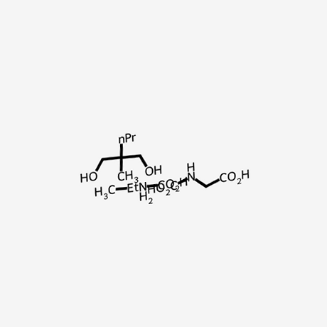 CCC.CCCC(C)(CO)CO.NC(=O)O.O=C(O)CNC(=O)O